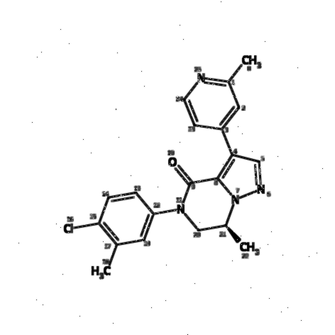 Cc1cc(-c2cnn3c2C(=O)N(c2ccc(Cl)c(C)c2)C[C@@H]3C)ccn1